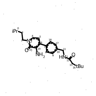 CC(C)CCn1ccc(-c2ccc(CNC(=O)CC(C)(C)C)cc2)c(N)c1=O